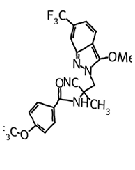 COc1c2ccc(C(F)(F)F)cc2nn1CC(C)(C#N)NC(=O)c1ccc(OC(F)(F)F)cc1